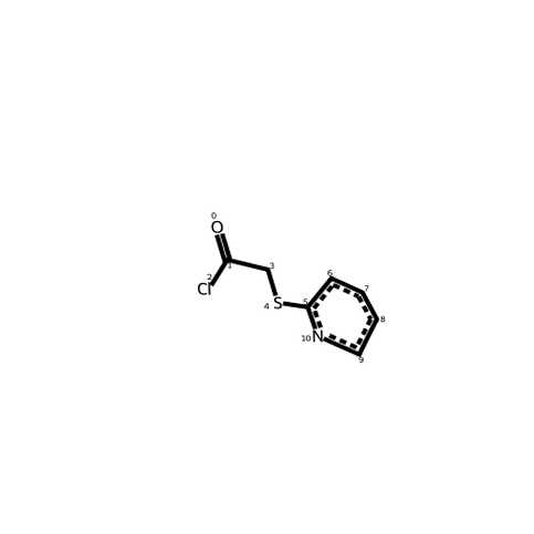 O=C(Cl)CSc1ccccn1